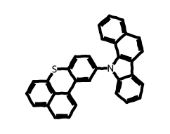 c1cc2c3c(cccc3c1)-c1cc(-n3c4ccccc4c4ccc5ccccc5c43)ccc1S2